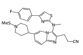 CSN1CCC(c2ccc3nc(CCC#N)c(N(C)c4nc(-c5ccc(F)cc5)cs4)n3c2)CC1